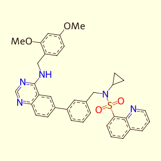 COc1ccc(CNc2ncnc3ccc(-c4cccc(CN(C5CC5)S(=O)(=O)c5cccc6cccnc56)c4)cc23)c(OC)c1